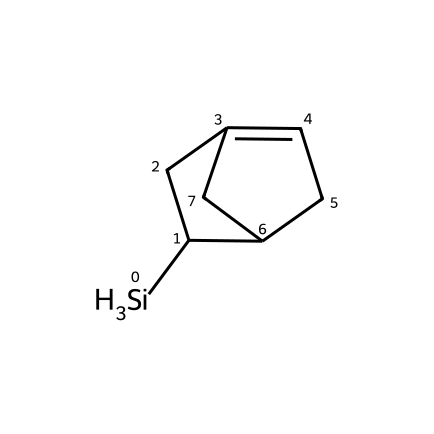 [SiH3]C1CC2=CCC1C2